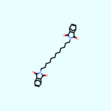 O=C1C2C3C=CC(C3)C2C(=O)N1CCCCCCCCCCCCN1C(=O)C2C3C=CC(C3)C2C1=O